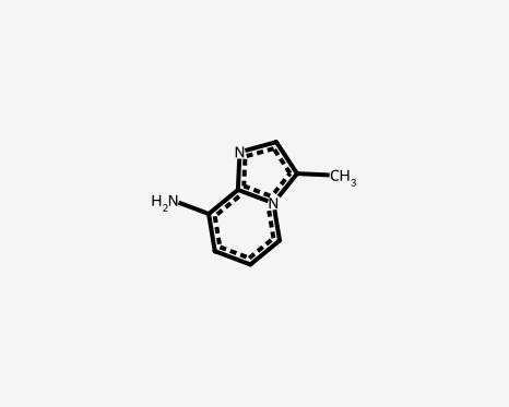 Cc1cnc2c(N)cccn12